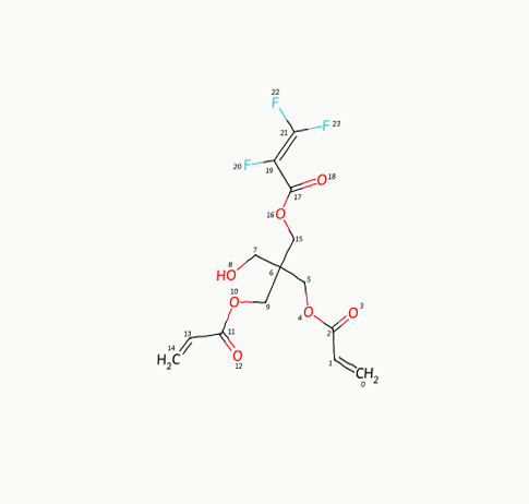 C=CC(=O)OCC(CO)(COC(=O)C=C)COC(=O)C(F)=C(F)F